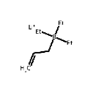 C=CC[B-](CC)(CC)CC.[Li+]